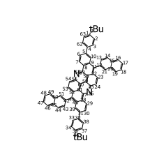 CC(C)(C)c1ccc(-c2ccc3c(c2)c(-c2ccc4ccccc4c2)c2ccc4nc5c6ccc(-c7ccc(C(C)(C)C)cc7)cc6c(-c6ccc7ccccc7c6)c6ccc7nc3c2c4c7c65)cc1